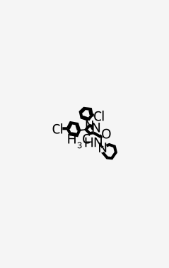 C[C@H]1C(C(=O)NN2CCCCCC2)=NN(c2ccccc2Cl)[C@@H]1c1ccc(Cl)cc1